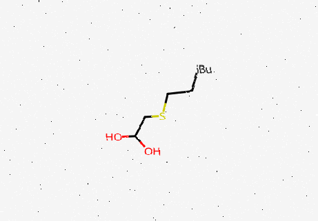 CCC(C)CCSCC(O)O